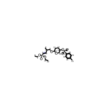 CCOP(=O)(/C=C/C(C)COC1CCC(OS(=O)(=O)c2ccc(C)cc2)CO1)OCC